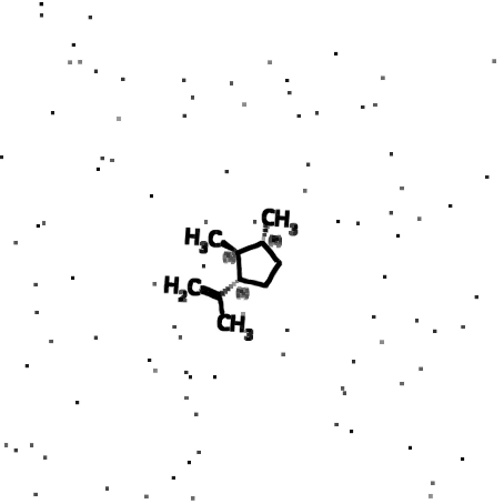 C=C(C)[C@H]1CC[C@@H](C)[C@@H]1C